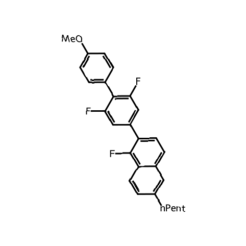 CCCCCc1ccc2c(F)c(-c3cc(F)c(-c4ccc(OC)cc4)c(F)c3)ccc2c1